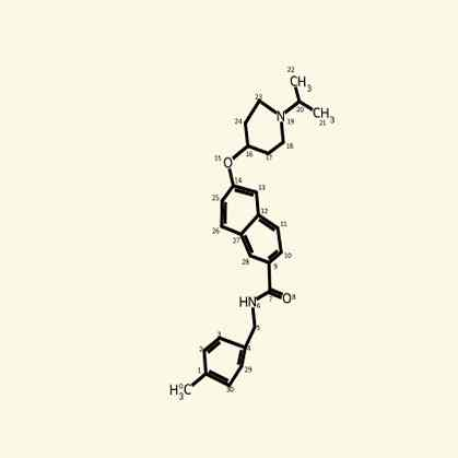 Cc1ccc(CNC(=O)c2ccc3cc(OC4CCN(C(C)C)CC4)ccc3c2)cc1